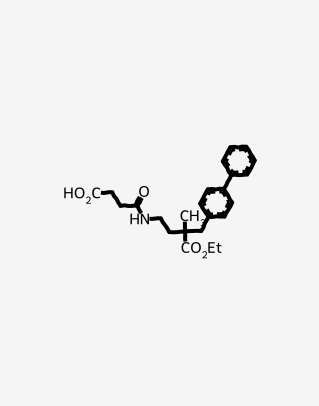 CCOC(=O)C(C)(CCNC(=O)CCC(=O)O)Cc1ccc(-c2ccccc2)cc1